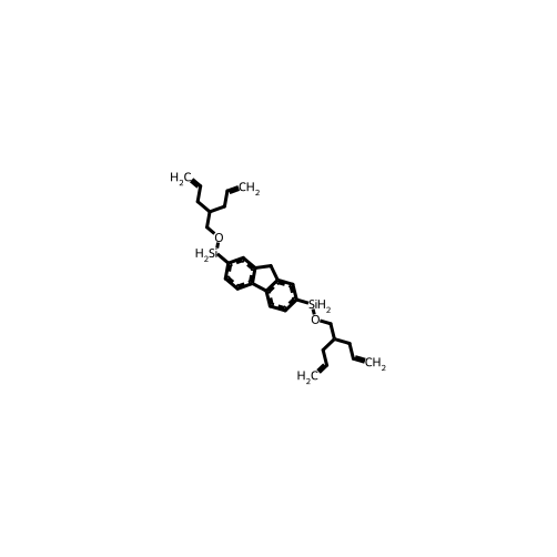 C=CCC(CC=C)CO[SiH2]c1ccc2c(c1)Cc1cc([SiH2]OCC(CC=C)CC=C)ccc1-2